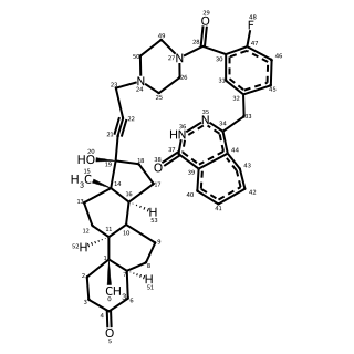 C[C@]12CCC(=O)C[C@@H]1CCC1[C@@H]2CC[C@@]2(C)[C@H]1CC[C@@]2(O)C#CCN1CCN(C(=O)c2cc(Cc3n[nH]c(=O)c4ccccc34)ccc2F)CC1